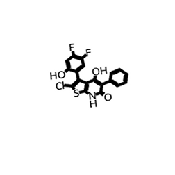 O=c1[nH]c2sc(Cl)c(-c3cc(F)c(F)cc3O)c2c(O)c1-c1ccccc1